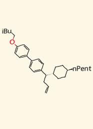 C=CCC(c1ccc(-c2ccc(OCC(C)CC)cc2)cc1)[C@H]1CC[C@H](CCCCC)CC1